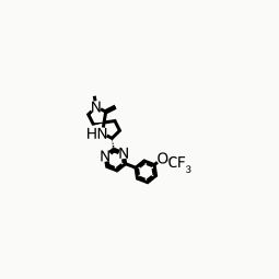 C=C1N(C)CC[C@]12CC[C@H](c1nccc(-c3cccc(OC(F)(F)F)c3)n1)N2